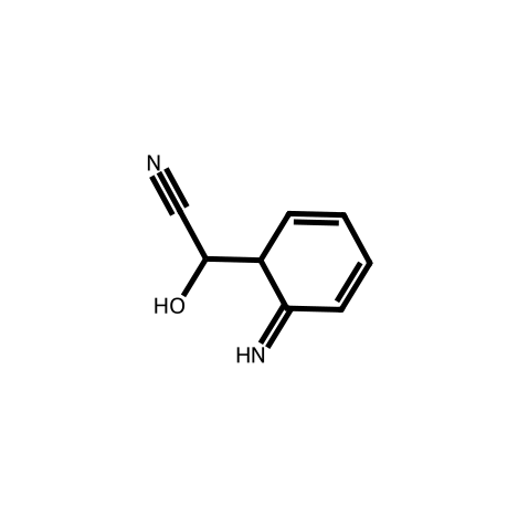 N#CC(O)C1C=CC=CC1=N